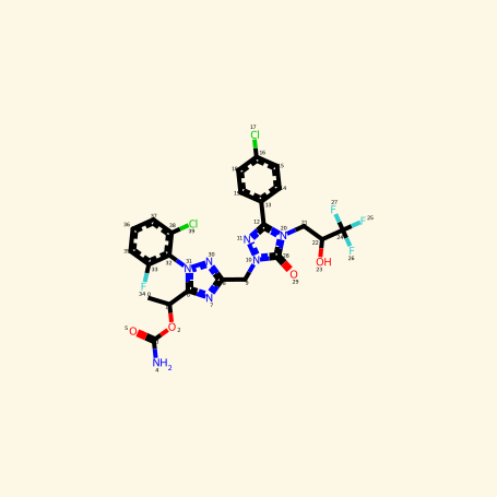 CC(OC(N)=O)c1nc(Cn2nc(-c3ccc(Cl)cc3)n(CC(O)C(F)(F)F)c2=O)nn1-c1c(F)cccc1Cl